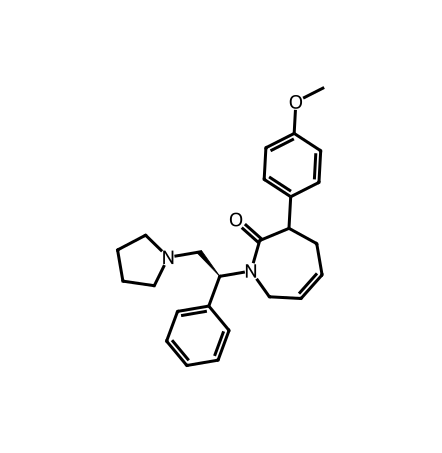 COc1ccc(C2CC=CCN([C@H](CN3CCCC3)c3ccccc3)C2=O)cc1